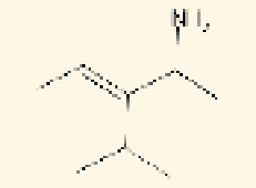 C/C=C(\C(C)C)C(C)N